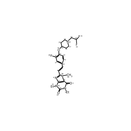 CCn1c(=O)c2c(nc(C=Cc3ccc(OC4CCN(CC(F)F)CC4)c(F)c3)n2C)n(CC)c1=O